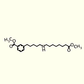 COC(=O)CCCCCCCNCCCCCc1cccc(C(=O)OC)c1